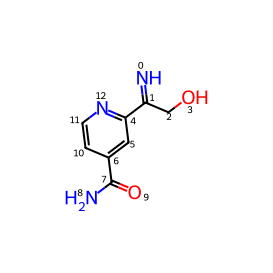 N=C(CO)c1cc(C(N)=O)ccn1